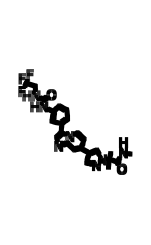 CNC(=O)C(C)(C)n1cc(-c2ccn3c(-c4cccc(NC(=O)NCC(F)(F)F)c4)cnc3c2)cn1